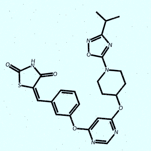 CC(C)c1noc(N2CCC(Oc3cc(Oc4cccc(C=C5SC(=O)NC5=O)c4)ncn3)CC2)n1